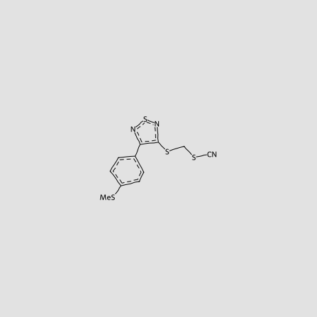 CSc1ccc(-c2nsnc2SCSC#N)cc1